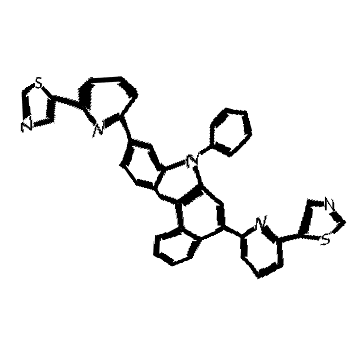 c1ccc(-n2c3cc(-c4cccc(-c5cncs5)n4)ccc3c3c4ccccc4c(-c4cccc(-c5cncs5)n4)cc32)cc1